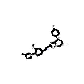 COc1cc(/C=C/c2nc3n(n2)C[C@@H](C)C[C@@H]3c2ccc(F)cc2)ccc1-n1cnc(C)c1